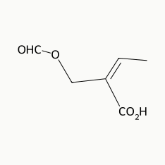 CC=C(COC=O)C(=O)O